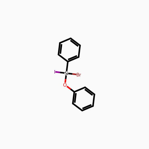 Br[Si](I)(Oc1ccccc1)c1ccccc1